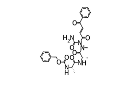 C[C@H](NC(=O)OCc1ccccc1)C(=O)N[C@@H](C)C(=O)N(C)N(C(N)=O)C(=O)/C=C/C(=O)c1ccccc1